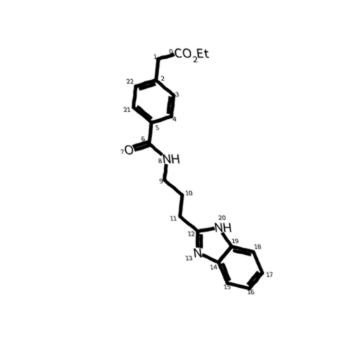 CCOC(=O)Cc1ccc(C(=O)NCCCc2nc3ccccc3[nH]2)cc1